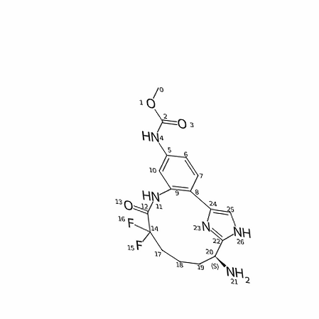 COC(=O)Nc1ccc2c(c1)NC(=O)C(F)(F)CCC[C@H](N)c1nc-2c[nH]1